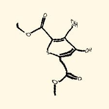 COC(=O)c1sc(C(=O)OC)c(O)c1O